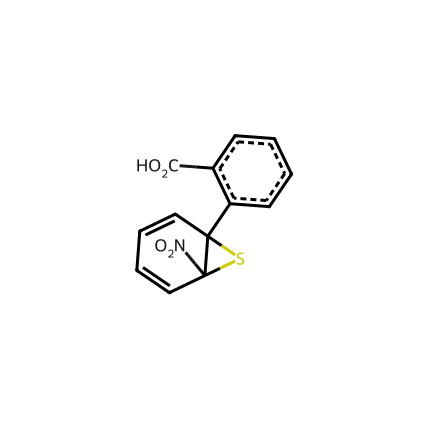 O=C(O)c1ccccc1C12C=CC=CC1([N+](=O)[O-])S2